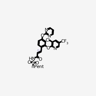 CCCCCS(=O)(=O)NC(=O)/C=C/c1ccc(Oc2ncccn2)cc1Oc1ncc(C(F)(F)F)cc1Cl